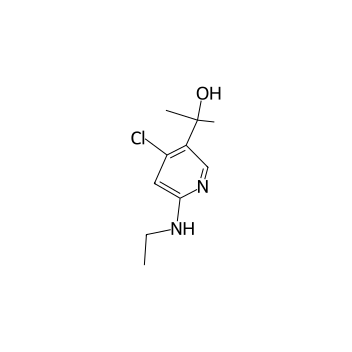 CCNc1cc(Cl)c(C(C)(C)O)cn1